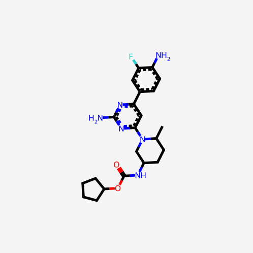 CC1CCC(NC(=O)OC2CCCC2)CN1c1cc(-c2ccc(N)c(F)c2)nc(N)n1